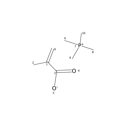 C=C(C)C(=O)[O-].C[P+](C)(C)C